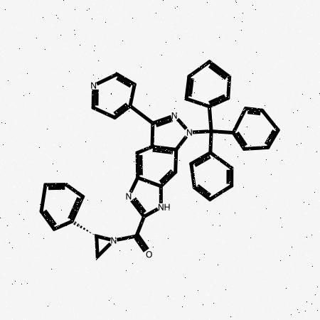 O=C(c1nc2cc3c(-c4ccncc4)nn(C(c4ccccc4)(c4ccccc4)c4ccccc4)c3cc2[nH]1)N1C[C@@H]1c1ccccc1